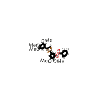 COc1cc(C2CSC(c3cc(OC)c(OC)c(OC(=O)c4ccccc4)c3)S2)cc(OC)c1OC